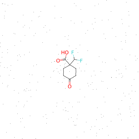 O=C1CCC(C(=O)O)(C(F)F)CC1